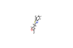 Cc1cc([Si](C)(C)c2nc3cccc(C)c3s2)co1